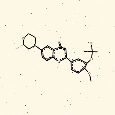 COc1ccc(-c2cc(=O)c3cc(N4CCN[C@@H](C)C4)ccc3o2)cc1OC(F)(F)F